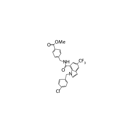 COC(=O)c1ccc(CNC(=O)c2cc(C(F)(F)F)cc3ccn(Cc4ccc(Cl)cc4)c23)cc1